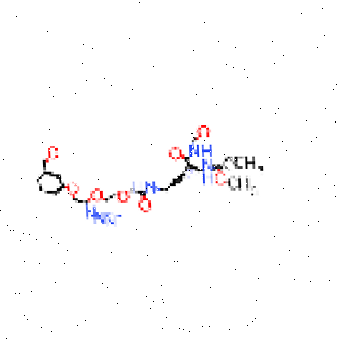 CC[C@H](N/C=C(/C#CCNC(=O)COCCOC(COC1=CCCC(C=O)=C1)N=[N+]=[N-])C(=O)NC=O)OC